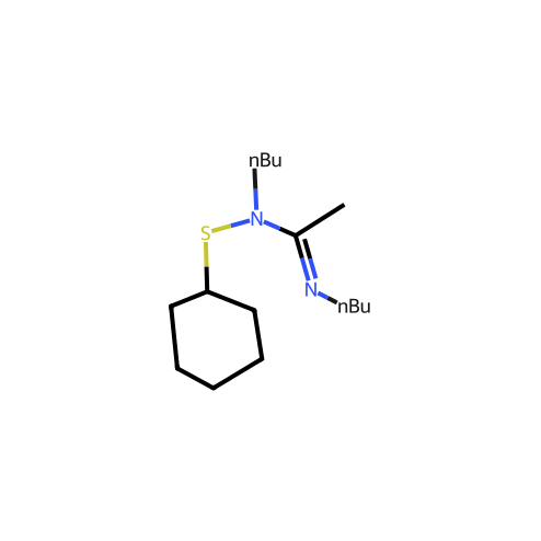 CCCCN=C(C)N(CCCC)SC1CCCCC1